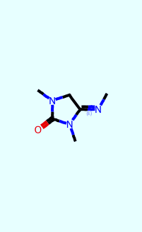 C/N=C1\CN(C)C(=O)N1C